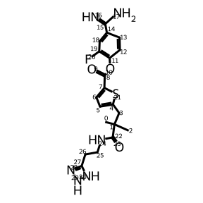 CC(C)(Cc1ccc(C(=O)Oc2ccc(C(=N)N)cc2F)s1)C(=O)NCCc1n[nH][nH]1